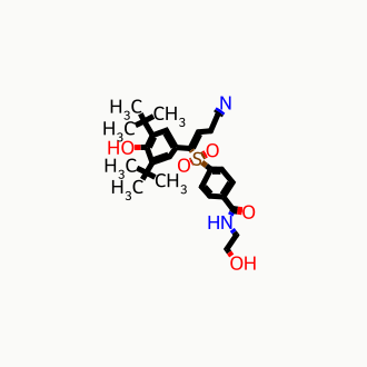 CC(C)(C)c1cc(/C(=C/CC#N)S(=O)(=O)c2ccc(C(=O)NCCO)cc2)cc(C(C)(C)C)c1O